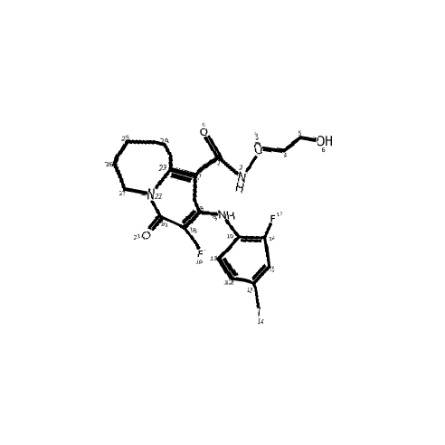 O=C(NOCCO)c1c(Nc2ccc(I)cc2F)c(F)c(=O)n2c1CCCC2